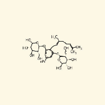 CCCc1cc(OC2O[C@H](O)[C@@H](O)[C@H](O)[C@H]2CO)c(C/C=C(\C)CCC=C(C)C)c(OC2O[C@H](O)[C@@H](O)[C@H](O)[C@H]2CO)c1